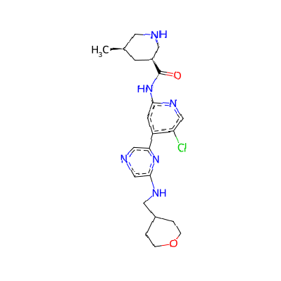 C[C@H]1CNC[C@@H](C(=O)Nc2cc(-c3cncc(NCC4CCOCC4)n3)c(Cl)cn2)C1